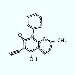 Cc1ccc2c(O)c(C#N)c(=O)n(-c3ccccc3)c2n1